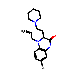 C=CCN1c2ccc(C#N)cc2NC(=O)C1CCN1CC[CH]CC1